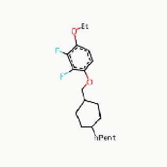 CCCCCC1CCC(COc2ccc(OCC)c(F)c2F)CC1